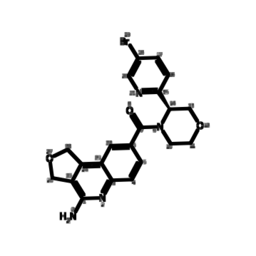 Nc1nc2ccc(C(=O)N3CCOC[C@@H]3c3ccc(Br)cn3)cc2c2c1COC2